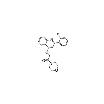 O=C(COc1cc(-c2ccccc2F)nc2ccccc12)N1CCOCC1